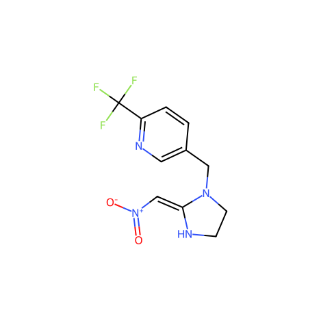 O=[N+]([O-])C=C1NCCN1Cc1ccc(C(F)(F)F)nc1